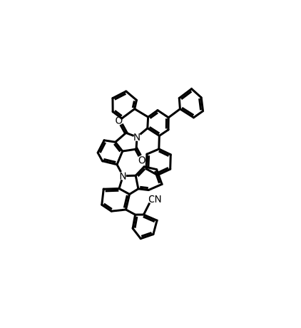 N#Cc1ccccc1-c1cccc2c1c1ccccc1n2-c1cccc2c1C(=O)N(c1c(-c3ccccc3)cc(-c3ccccc3)cc1-c1ccccc1)C2=O